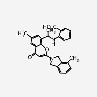 Cc1cc(C(C)Nc2ccccc2C(=O)O)c2oc(N3Cc4cccc(C)c4C3)cc(=O)c2c1